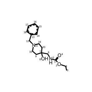 CCOC(=O)NCC1(O)CCN(Cc2ccccc2)CC1